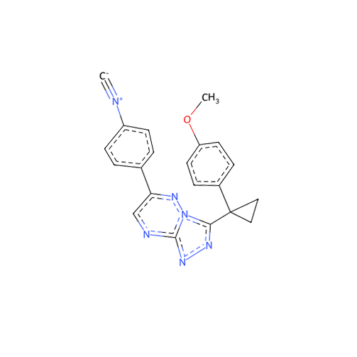 [C-]#[N+]c1ccc(-c2cnc3nnc(C4(c5ccc(OC)cc5)CC4)n3n2)cc1